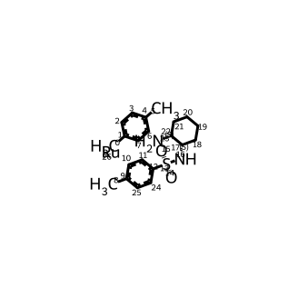 Cc1ccc(C)cc1.Cc1ccc(S(=O)(=O)N[C@H]2CCCC[C@@H]2N)cc1.[Ru]